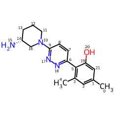 Cc1cc(C)c(-c2ccc(N3CCC[C@@H](N)C3)nn2)c(O)c1